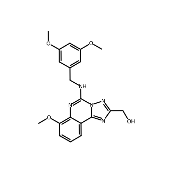 COc1cc(CNc2nc3c(OC)cccc3c3nc(CO)nn23)cc(OC)c1